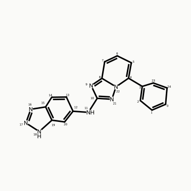 c1ccc(-c2cccc3nc(Nc4ccc5nn[nH]c5c4)nn23)cc1